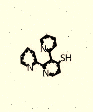 Sc1ccnc(-c2ccccn2)c1-c1ccccn1